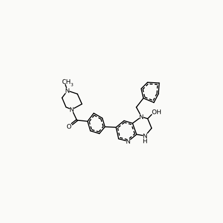 CN1CCN(C(=O)c2ccc(-c3cnc4c(c3)N(Cc3ccccc3)C(O)CN4)cc2)CC1